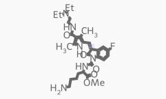 CCN(CC)CCNC(=O)c1c(C)[nH]c(/C=C2\C(=O)N(C(=O)NC(CCCCN)C(=O)OC)c3ccc(F)cc32)c1C